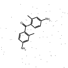 Cc1cc(N)ccc1C(=O)c1ccc(N)cc1C